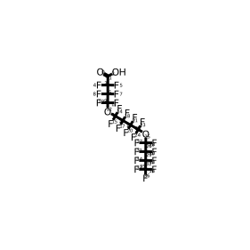 O=C(O)C(F)(F)C(F)(F)C(F)(F)OC(F)(F)C(F)(F)C(F)(F)C(F)(F)OC(F)(F)C(F)(F)C(F)(F)C(F)(F)F